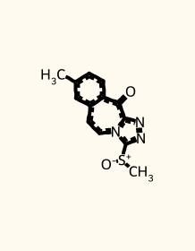 Cc1ccc2c(=O)c3nnc([S+](C)[O-])n3ccc2c1